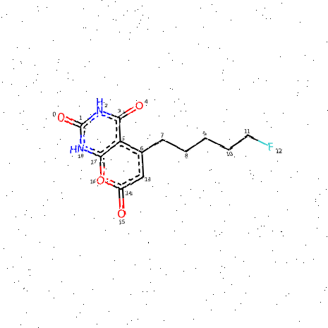 O=c1[nH]c(=O)c2c(CCCCCF)cc(=O)oc2[nH]1